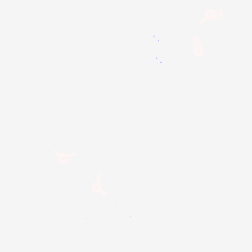 COc1cc(C=Cc2cc(C)n(CC(=O)O)n2)ccc1O[Si](C)(C)C(C)(C)C